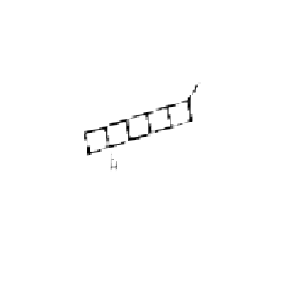 CC1CC2C1C1C2C2C1C1CC[C@@H]12